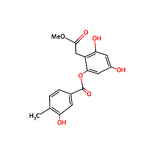 COC(=O)Cc1c(O)cc(O)cc1OC(=O)c1ccc(C)c(O)c1